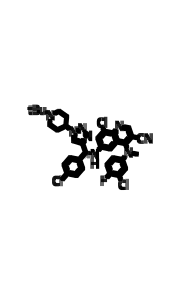 CN(c1ccc(F)c(Cl)c1)c1c(C#N)cnc2c(Cl)cc(N[C@@H](c3ccc(Cl)cc3)c3cn(C4CCN(C(C)(C)C)CC4)nn3)cc12